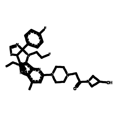 CCn1nc2c(C)cc(N3CCN(CC(=O)N4CC(O)C4)CC3)nc2c1N(CCF)C1(c2ccc(F)cc2)N=CSC1C#N